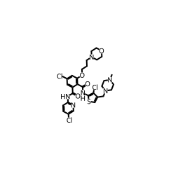 CN1CCN(Cc2csc(NC(=O)c3c(OCCCN4CCOCC4)cc(Cl)cc3C(=O)Nc3ccc(Cl)cn3)c2Cl)CC1